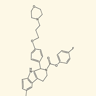 Nc1ccc2[nH]c3c(c2c1)CCN(C(=O)Oc1ccc(F)cc1)C3c1ccc(OCCCN2CCOCC2)cc1